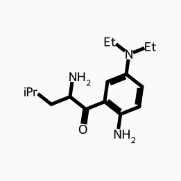 CCN(CC)c1ccc(N)c(C(=O)C(N)CC(C)C)c1